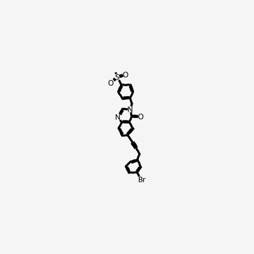 CS(=O)(=O)c1ccc(Cn2cnc3ccc(C#CCc4cccc(Br)c4)cc3c2=O)cc1